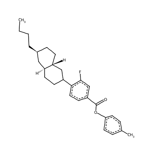 CCCC[C@H]1CC[C@@H]2CC(c3ccc(C(=O)Oc4ccc(C)cc4)cc3F)CC[C@H]2C1